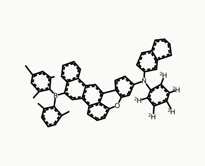 [2H]c1c([2H])c([2H])c(N(c2ccc3c(c2)Oc2cccc4c2c-3cc2c3ccccc3c(B(c3c(C)cccc3C)c3c(C)cc(C)cc3C)cc42)c2ccc3ccccc3c2)c([2H])c1[2H]